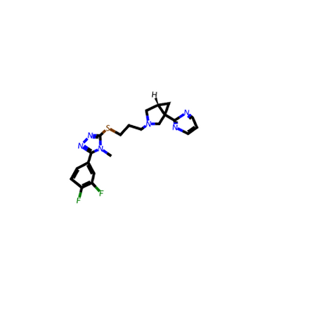 Cn1c(SCCCN2C[C@@H]3CC3(c3ncccn3)C2)nnc1-c1ccc(F)c(F)c1